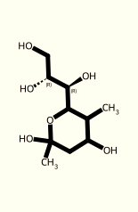 CC1C(O)CC(C)(O)OC1[C@H](O)[C@H](O)CO